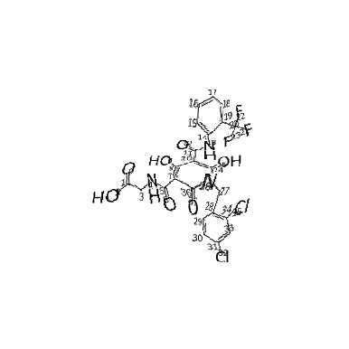 O=C(O)CNC(=O)c1c(O)c(C(=O)Nc2ccccc2C(F)(F)F)c(O)n(Cc2ccc(Cl)cc2Cl)c1=O